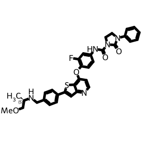 COC[C@H](C)NCc1ccc(-c2cc3nccc(Oc4ccc(NC(=O)N5CCN(c6ccccc6)C5=O)cc4F)c3s2)cc1